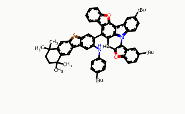 CC(C)(C)c1ccc(Nc2cc3c(cc2-c2c4c5c(c6cc(C(C)(C)C)ccc6n5-c5c(oc6ccc(C(C)(C)C)cc56)B4)c4oc5ccccc5c24)sc2cc4c(cc23)C(C)(C)CCC4(C)C)cc1